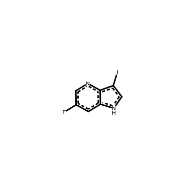 Fc1cnc2c(I)c[nH]c2c1